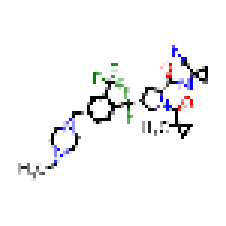 CCN1CCN(Cc2ccc(C(F)(F)[C@@H]3C[C@@H](C(=O)NC4(C#N)CC4)N(C(=O)C4(C)CC4)C3)c(C(F)(F)F)c2)CC1